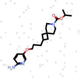 CC(C)OC(=O)N1CCC2(CC1)CC(CCCOc1ccc(N)nc1)C2